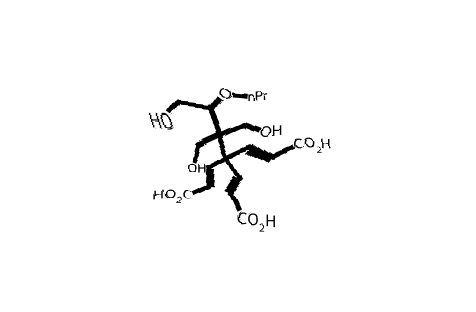 CCCOC(CO)C(CO)(CO)C(C=CC(=O)O)(C=CC(=O)O)C=CC(=O)O